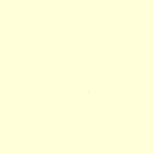 CCCCCC=C(CC(=O)O)C(=O)C(=O)O